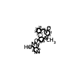 CN(c1ccc(Oc2nc(O)c3ccncc3n2)cc1)C1CCC(=O)N(Cc2ccccc2)C1